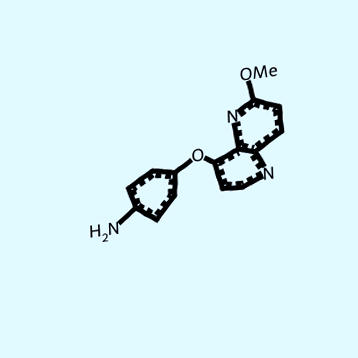 COc1ccc2nccc(Oc3ccc(N)cc3)c2n1